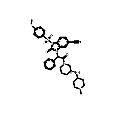 COc1ccc(S(=O)(=O)n2c(=O)n(C(C(=O)N3CCC[C@H](NC4CCN(C)CC4)C3)c3ccccc3)c3cc(C#N)ccc32)cc1